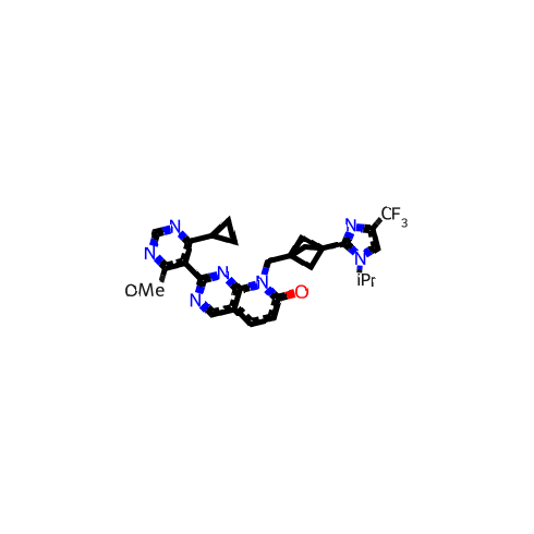 COc1ncnc(C2CC2)c1-c1ncc2ccc(=O)n(CC34CC(c5nc(C(F)(F)F)cn5C(C)C)(C3)C4)c2n1